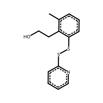 Cc1cccc(SSc2ccccn2)c1CCO